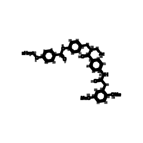 CCCCCCCOc1ccc(C(=O)Oc2ccc(CN(CC(C)=O)C(=O)c3ccc(NC(=O)Cc4cc(OC)ccc4OC)cc3)cc2)cc1